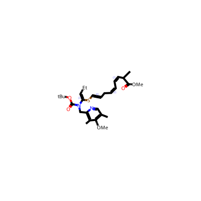 CC/C=C(\S/C=C/C/C=C\C=C/C(C)C(=O)OC)N(Cc1ncc(C)c(OC)c1C)C(=O)OC(C)(C)C